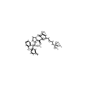 Cc1ccccc1[C@H](c1cccc(F)c1)[C@@H](C)[C@H]1CCCN1C(=O)c1nn(COCC[Si](C)(C)C)cc(C)c1=O